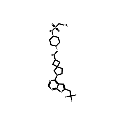 CCS(=O)(=O)N[C@H]1CC[C@H](CNC2CC3(CCN(c4ncnc5sc(CC(F)(F)F)cc45)C3)C2)CC1